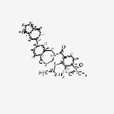 CN(C)Cc1c(C(=O)N2CCOc3ccc(-c4ccc5nc[nH]c5c4)cc3C2)ccc(S(C)(=O)=O)c1F